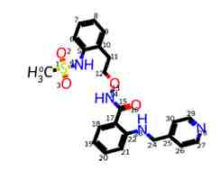 CS(=O)(=O)Nc1ccccc1CCONC(=O)c1ccccc1NCc1ccncc1